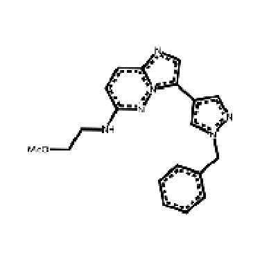 COCCNc1ccc2ncc(-c3cnn(Cc4ccccc4)c3)n2n1